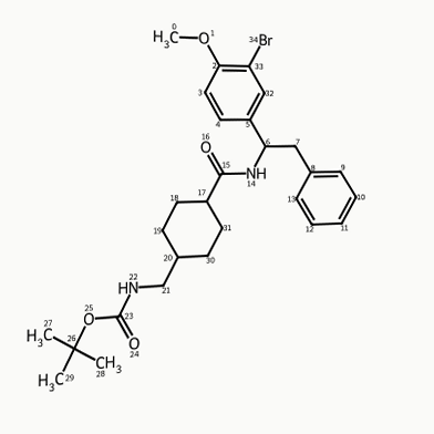 COc1ccc(C(Cc2ccccc2)NC(=O)C2CCC(CNC(=O)OC(C)(C)C)CC2)cc1Br